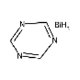 [BiH3].c1ncncn1